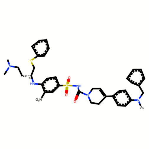 CC(=O)N(Cc1ccccc1)c1ccc(C2=CCN(C(=O)NS(=O)(=O)c3ccc(N[C@H](CCN(C)C)CSc4ccccc4)c([N+](=O)[O-])c3)CC2)cc1